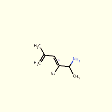 C=C(C)/C=C(\CC)C(C)N